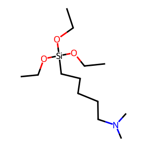 CCO[Si](CCCCCN(C)C)(OCC)OCC